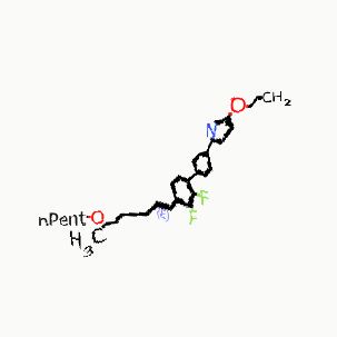 C=CCOc1ccc(-c2ccc(-c3ccc(/C=C/CCCC(C)OCCCCC)c(F)c3F)cc2)nc1